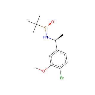 COc1cc([C@H](C)N[S@+]([O-])C(C)(C)C)ccc1Br